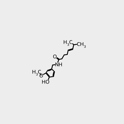 COc1cc(CNC(=O)CCCC=CC(C)C)ccc1O